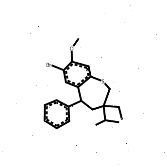 CCC1(C(C)C)CSc2cc(OC)c(Br)cc2C(c2ccccc2)C1